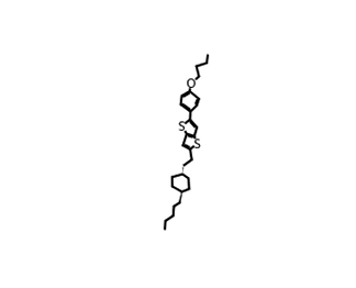 CCCCC[C@H]1CC[C@H](CCc2cc3sc(-c4ccc(OCCCC)cc4)cc3s2)CC1